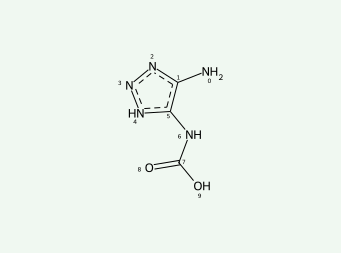 Nc1nn[nH]c1NC(=O)O